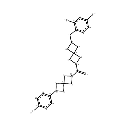 O=C(N1CC2(CC(Cc3ccc(F)cc3F)C2)C1)N1CC2(CC(c3ccc(F)cc3)C2)C1